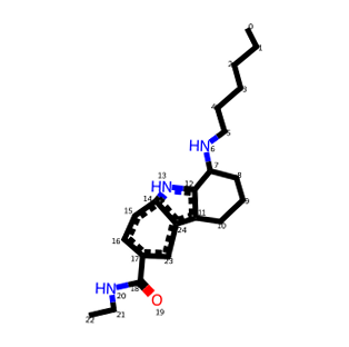 CCCCCCNC1CCCc2c1[nH]c1ccc(C(=O)NCC)cc21